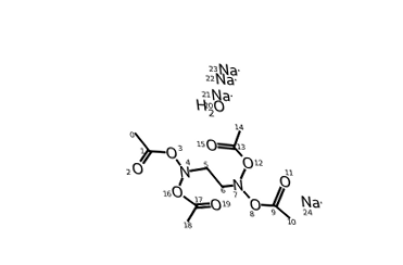 CC(=O)ON(CCN(OC(C)=O)OC(C)=O)OC(C)=O.O.[Na].[Na].[Na].[Na]